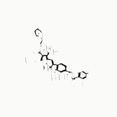 Cc1[nH]c(C=C2C(=O)Nc3cc(C(=O)N[C@@H](C)c4ccc(F)cc4)ccc32)c(C)c1C(=O)NCCN1CCCC1